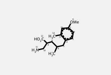 COc1ccc(CC(C)CC(CN)C(=O)O)c(C)c1